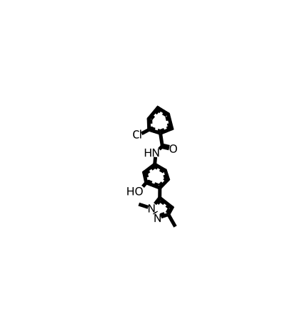 Cc1cc(-c2ccc(NC(=O)c3ccccc3Cl)cc2O)n(C)n1